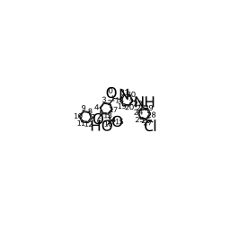 O=C(c1ccc(Oc2ccccc2)c(C(=O)O)c1)c1ccc(Nc2ccc(Cl)cc2)cn1